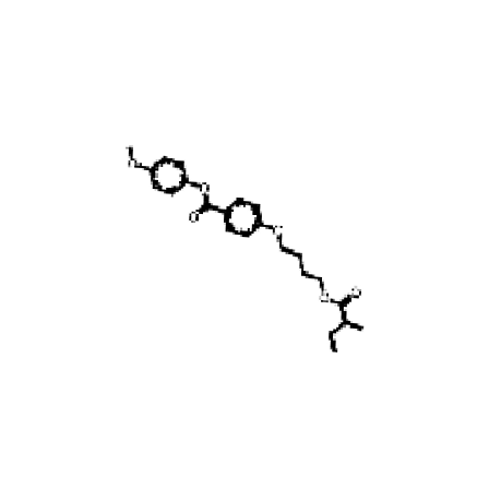 CCC(C)C(=O)OCCCCOc1ccc(C(=O)Oc2ccc(OC)cc2)cc1